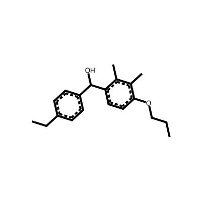 CCCOc1ccc(C(O)c2ccc(CC)cc2)c(C)c1C